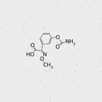 CON=C(C(=O)O)c1cccc(OC(N)=O)c1